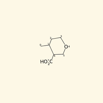 CC1CCOCC1C(=O)O